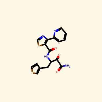 NC(=O)C(=O)C(Cc1ccsc1)NC(=O)c1scnc1-c1ccccn1